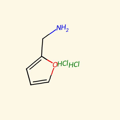 Cl.Cl.NCc1ccco1